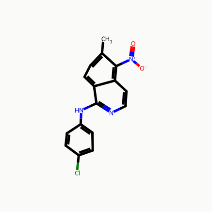 Cc1ccc2c(Nc3ccc(Cl)cc3)nccc2c1[N+](=O)[O-]